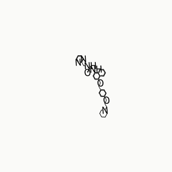 O=C(NCc1ncccn1)Nc1ccc(OCc2ccc(OCCN3CCCCC3)cc2)c2ccccc12